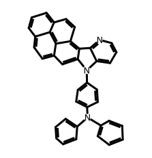 c1ccc(N(c2ccccc2)c2ccc(-n3c4cccnc4c4c5ccc6cccc7ccc(cc43)c5c76)cc2)cc1